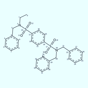 CCN(Cc1ccccc1)S(=O)(=O)c1ccc(S(=O)(=O)N(Cc2ccccc2)Cc2ccccn2)cc1